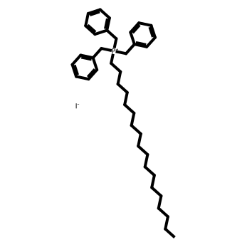 CCCCCCCCCCCCCCCCCC[P+](Cc1ccccc1)(Cc1ccccc1)Cc1ccccc1.[I-]